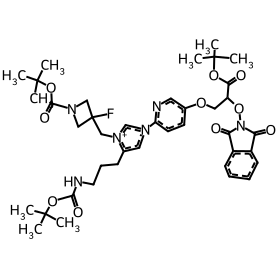 CC(C)(C)OC(=O)NCCCc1cn(-c2ccc(OCC(ON3C(=O)c4ccccc4C3=O)C(=O)OC(C)(C)C)cn2)c[n+]1CC1(F)CN(C(=O)OC(C)(C)C)C1